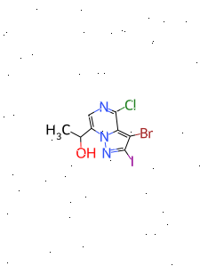 CC(O)c1cnc(Cl)c2c(Br)c(I)nn12